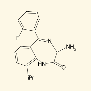 CC(C)c1cccc2c1NC(=O)C(N)N=C2c1ccccc1F